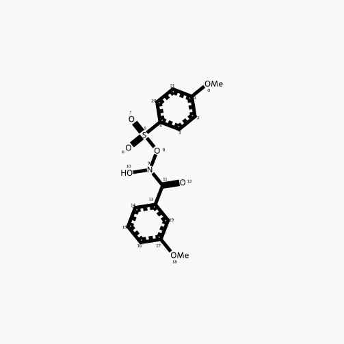 COc1ccc(S(=O)(=O)ON(O)C(=O)c2[c]ccc(OC)c2)cc1